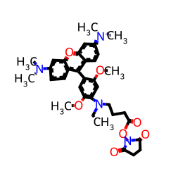 CCN(CCCC(=O)ON1C(=O)CCC1=O)c1cc(OC)c(-c2c3ccc(=[N+](C)C)cc-3oc3cc(N(C)C)ccc23)cc1OC